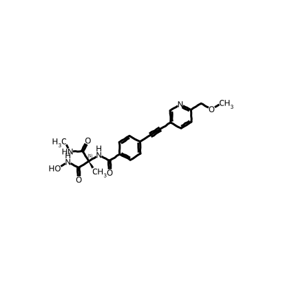 CNC(=O)[C@](C)(NC(=O)c1ccc(C#Cc2ccc(COC)nc2)cc1)C(=O)NO